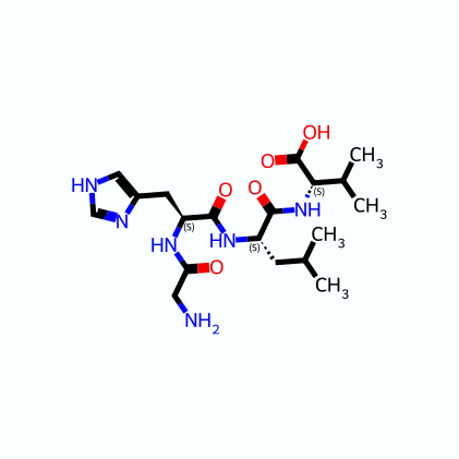 CC(C)C[C@H](NC(=O)[C@H](Cc1c[nH]cn1)NC(=O)CN)C(=O)N[C@H](C(=O)O)C(C)C